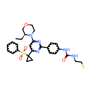 CC[C@H]1COCCN1c1cc(C2(S(=O)(=O)c3ccccc3)CC2)nc(-c2ccc(NC(=O)NCCF)cc2)n1